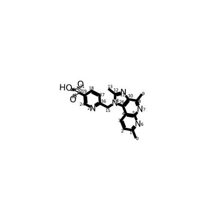 Cc1ccc2c(n1)nc(C)c1nc(C)n(Cc3ccc(S(=O)(=O)O)cn3)c12